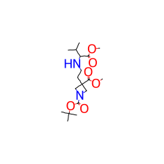 COC(=O)C(NCCC1(C(=O)OC)CN(C(=O)OC(C)(C)C)C1)C(C)C